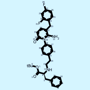 CC(C)(C)OC(=O)[C@H](Cc1ccccc1)NCCc1ccc(-n2c(N)c(Cc3ccc(F)cc3F)ccc2=O)cc1